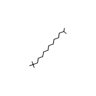 NC(Br)CCCCCCCCCCC(Br)(Br)Br